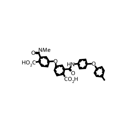 CNC(=O)c1cc(Oc2ccc(C(=O)O)c(C(=O)Nc3ccc(Oc4ccc(C)cc4)cc3)c2)ccc1C(=O)O